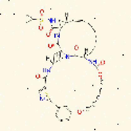 O=C1N[C@H]2CCCCC/C=C\[C@H]3C[C@@]3(C(=O)NS(=O)(=O)C3CC3)NC(=O)[C@@H]3C[C@H](CN3C2=O)NC(=O)c2cnc(s2)-c2cccc(c2)OCCCCCO1